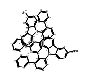 CC(C)(C)c1ccc2c(c1)c1ccccc1n2-c1cccc(-c2ccccc2)c1-c1cc(-c2cccc(-c3ccccc3)c2-n2c3ccccc3c3cc(C(C)(C)C)ccc32)nc(-c2ccccc2)n1